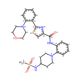 CS(=O)(=O)NC1CCN(c2ccccc2NC(=O)c2csc(-c3ccccc3N3CCOCC3)n2)CC1